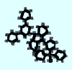 O=P(c1ccccc1)(c1ccccc1)c1cccc(-c2c3ccccc3c(-c3cc(-c4ccccc4)cc(-c4ccccc4)c3)c3ccccc23)c1